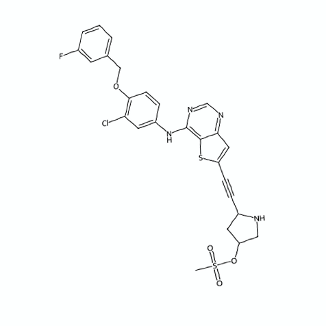 CS(=O)(=O)OC1CNC(C#Cc2cc3ncnc(Nc4ccc(OCc5cccc(F)c5)c(Cl)c4)c3s2)C1